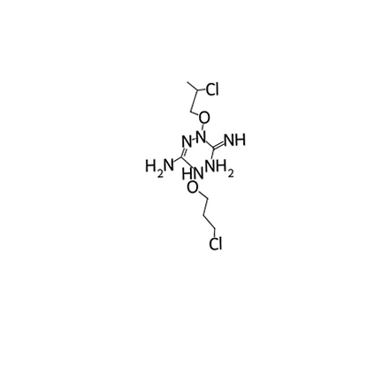 CC(Cl)CON(N=C(N)NOCCCCl)C(=N)N